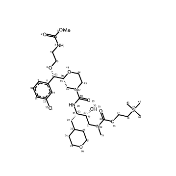 COC(=O)NCCO[C@@H](c1cccc(Cl)c1)[C@H]1CN(C(=O)N[C@@H](CC2CCOCC2)[C@H](O)CN(C)C(=O)OCC[Si](C)(C)C)CCO1